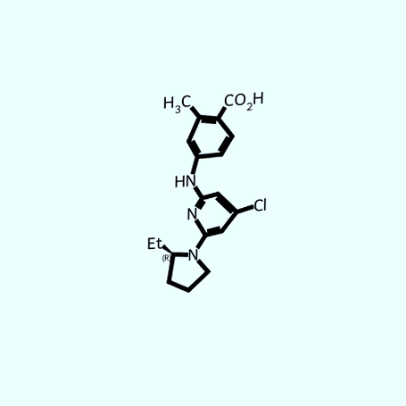 CC[C@@H]1CCCN1c1cc(Cl)cc(Nc2ccc(C(=O)O)c(C)c2)n1